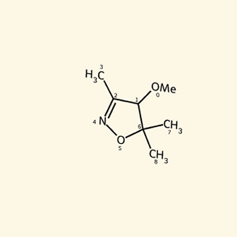 COC1C(C)=NOC1(C)C